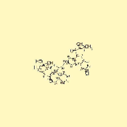 CCC(C)C(=O)C(Cc1ccc(Cl)cc1)N1CCN(CCC=C2c3cc(C(C)(C)O)ccc3OCc3ncccc32)C1